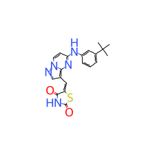 CC(C)(C)c1cccc(Nc2ccn3ncc(/C=C4/SC(=O)NC4=O)c3n2)c1